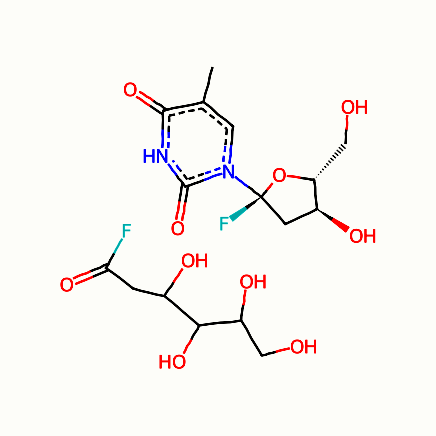 Cc1cn([C@@]2(F)C[C@H](O)[C@@H](CO)O2)c(=O)[nH]c1=O.O=C(F)CC(O)C(O)C(O)CO